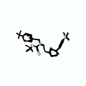 CC(C)(C)OC(=O)N(CCc1cccc(C#C[Si](C)(C)C)c1)Cc1ccc(C(C)(C)C)cc1